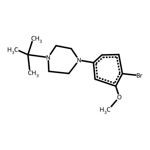 COc1cc(N2CCN(C(C)(C)C)CC2)ccc1Br